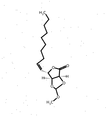 CCCCCCCC/C=C\[C@@H]1OC(=O)[C@H]2OC(OC)O[C@@H]12